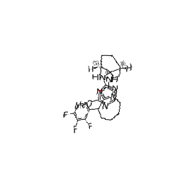 COc1cc(N2C[C@H]3CC[C@@H](C2)[C@H]3Nc2nc3n(n2)CCCCC3c2ccc(F)c(F)c2F)ccn1